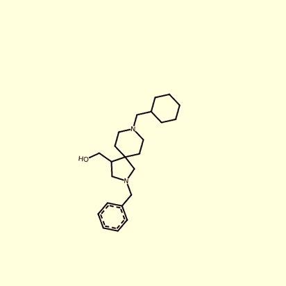 OCC1CN(Cc2ccccc2)CC12CCN(CC1CCCCC1)CC2